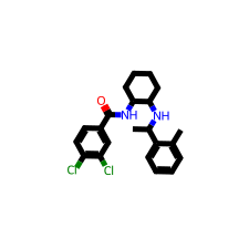 Cc1ccccc1C(C)NC1CCCCC1NC(=O)c1ccc(Cl)c(Cl)c1